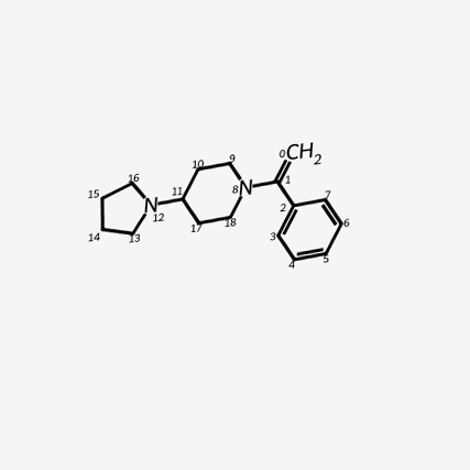 C=C(c1ccccc1)N1CCC(N2CCCC2)CC1